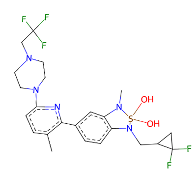 Cc1ccc(N2CCN(CC(F)(F)F)CC2)nc1-c1ccc2c(c1)N(C)S(O)(O)N2CC1CC1(F)F